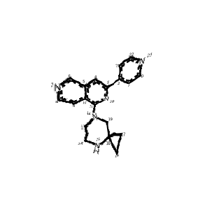 c1cc(-c2cc3cnccc3c(N3CCNC4(CC4)C3)n2)ccn1